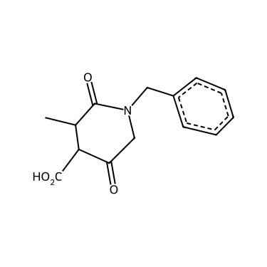 CC1C(=O)N(Cc2ccccc2)CC(=O)C1C(=O)O